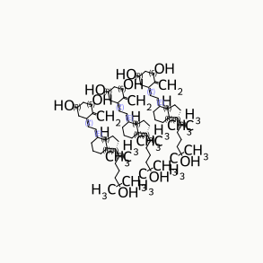 C=C1/C(=C\C=C2/CCC[C@]3(C)[C@@H]([C@H](C)CCCC(C)(C)O)CC[C@@H]23)C[C@@H](O)C[C@@H]1O.C=C1/C(=C\C=C2/CCC[C@]3(C)[C@@H]([C@H](C)CCCC(C)(C)O)CC[C@@H]23)C[C@@H](O)C[C@@H]1O.C=C1/C(=C\C=C2/CCC[C@]3(C)[C@@H]([C@H](C)CCCC(C)(C)O)CC[C@@H]23)C[C@@H](O)C[C@@H]1O